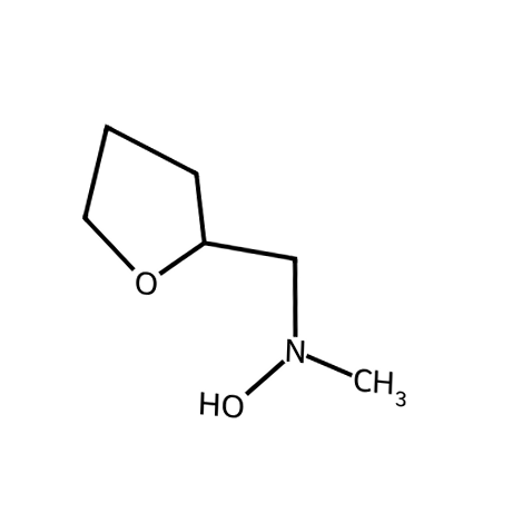 CN(O)CC1CCCO1